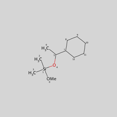 CO[Si](C)(C)OC(C)C1CCCCC1